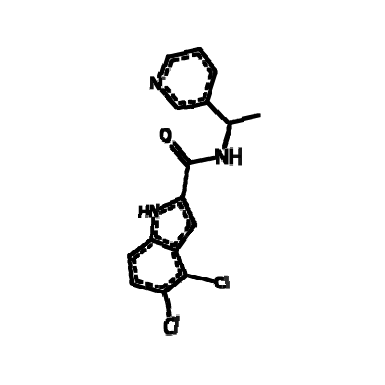 CC(NC(=O)c1cc2c(Cl)c(Cl)ccc2[nH]1)c1cccnc1